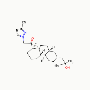 CCCCC(C)(O)C[C@@H]1CC[C@@H]2[C@H](CC[C@]3(C)[C@@H](C(=O)Cn4ccc(C#N)n4)CCC[C@@H]23)C1